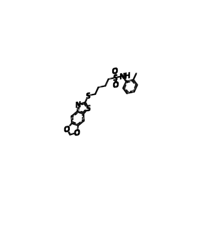 Cc1ccccc1NS(=O)(=O)CCCCSc1nc2cc3c(cc2s1)OCO3